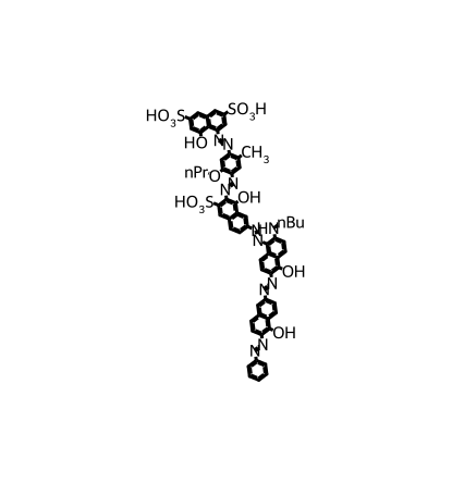 CCCCNc1ccc2c(O)c(N=Nc3ccc4c(O)c(N=Nc5ccccc5)ccc4c3)ccc2c1N=Nc1ccc2cc(S(=O)(=O)O)c(N=Nc3cc(C)c(N=Nc4cc(S(=O)(=O)O)cc5cc(S(=O)(=O)O)cc(O)c45)cc3OCCC)c(O)c2c1